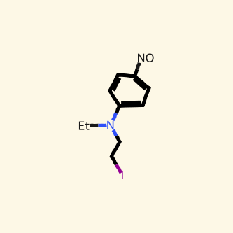 CCN(CCI)c1ccc(N=O)cc1